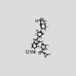 COc1ccc2nc(-c3ccc(-c4ccc5cn[nH]c5c4)cc3)n(C[C@@H]3CCN(C(=O)C4CC4)C3)c2c1